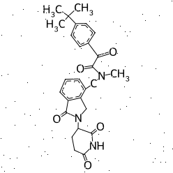 CN(Cc1cccc2c1CN(C1CCC(=O)NC1=O)C2=O)C(=O)C(=O)c1ccc(C(C)(C)C)cc1